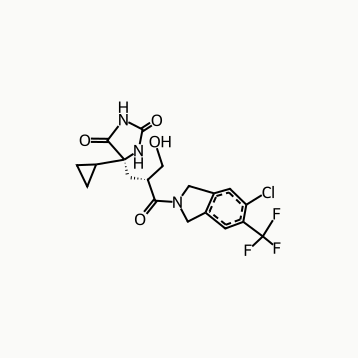 O=C1NC(=O)[C@](C[C@H](CO)C(=O)N2Cc3cc(Cl)c(C(F)(F)F)cc3C2)(C2CC2)N1